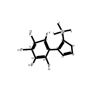 C[Si](C)(C)C1=C(c2c(F)c(F)c(F)c(F)c2F)C=CC1